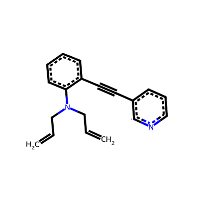 C=CCN(CC=C)c1ccccc1C#Cc1[c]nccc1